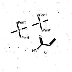 C=CC([NH-])=O.CCCCC[N+](C)(C)CCCCC.CCCCC[N+](C)(C)CCCCC.[Cl-]